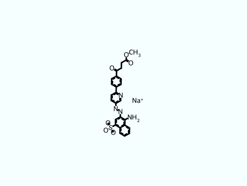 COC(=O)CCC(=O)c1ccc(-c2ccc(N=Nc3cc(S(=O)(=O)[O-])c4ccccc4c3N)cn2)cc1.[Na+]